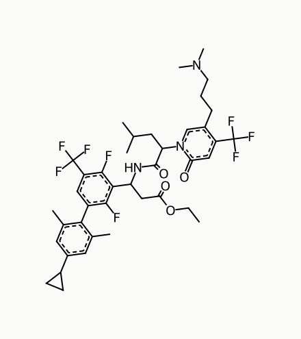 CCOC(=O)CC(NC(=O)C(CC(C)C)n1cc(CCCN(C)C)c(C(F)(F)F)cc1=O)c1c(F)c(-c2c(C)cc(C3CC3)cc2C)cc(C(F)(F)F)c1F